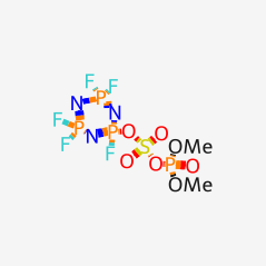 COP(=O)(OC)OS(=O)(=O)OP1(F)=NP(F)(F)=NP(F)(F)=N1